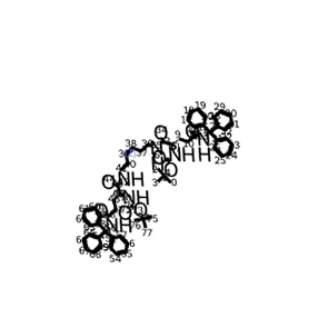 CC(C)(C)OC(=O)N[C@@H](CCC(=O)NC(c1ccccc1)(c1ccccc1)c1ccccc1)C(=O)NCC/C=C\CCNC(=O)[C@H](CCC(=O)NC(c1ccccc1)(c1ccccc1)c1ccccc1)NC(=O)OC(C)(C)C